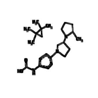 CC1(C)CC1(C)C.CC1CCCN1C1CCN(c2ccc(NC(=O)O)cc2)C1